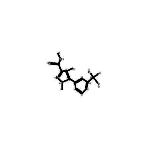 COC(=O)c1nn(C)c(-c2cccc(C(F)(F)F)c2)c1C